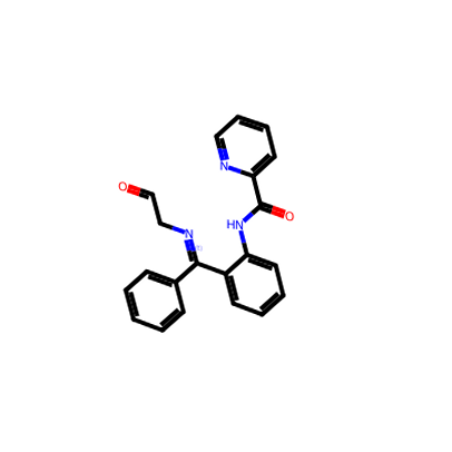 O=CC/N=C(\c1ccccc1)c1ccccc1NC(=O)c1ccccn1